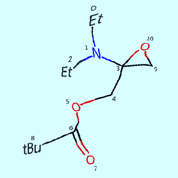 CCN(CC)C1(COC(=O)C(C)(C)C)CO1